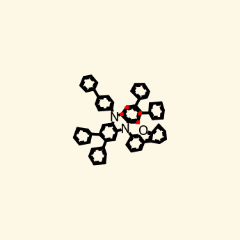 c1ccc(-c2ccc(N(c3ccc(-c4ccccc4)cc3)c3cc(-c4ccccc4)c(-c4ccccc4)cc3N(c3ccc(-c4ccccc4)cc3)c3cccc4c3oc3ccccc34)cc2)cc1